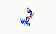 CC(C)(C)CN1CCC2(CC1)CCN(C(=O)CC(=O)N1CCC(N(Cc3ncc[nH]3)Cc3ncc[nH]3)CC1)C2